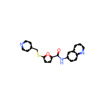 O=C(Nc1ccc2ncccc2c1)c1ccc(SCc2ccncc2)o1